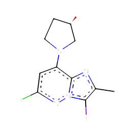 Cc1nc2c(N3CC[C@@H](O)C3)cc(Cl)nn2c1I